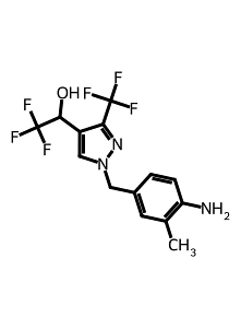 Cc1cc(Cn2cc(C(O)C(F)(F)F)c(C(F)(F)F)n2)ccc1N